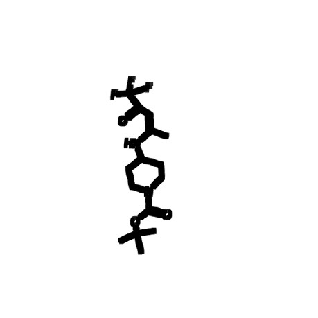 C/C(=C/C(=O)C(F)(F)F)NC1CCN(C(=O)OC(C)(C)C)CC1